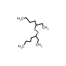 CCCCC(CC)SSC(CC)CCCC